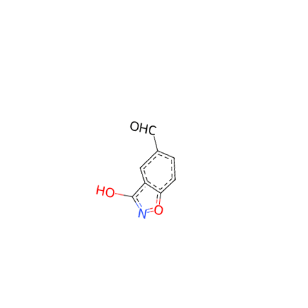 O=Cc1ccc2onc(O)c2c1